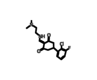 CN(C)CCNC=C1C(=O)CC(c2cccc(F)c2Cl)CC1=O